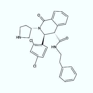 O=C(NCCc1ccccc1)[C@H]1c2ccccc2C(=O)N([C@H]2CCNC2)[C@@H]1c1ccc(Cl)cc1Cl